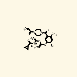 C=CC(=O)N1CCN(C(=O)C2=CC(S/C(=C/C)SC(=C)NC(=O)C3CC3)[C@@H](Cl)C=C2C)CC1